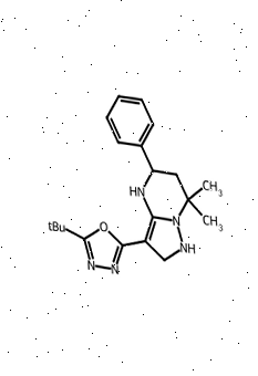 CC(C)(C)c1nnc(C2=C3NC(c4ccccc4)CC(C)(C)N3NC2)o1